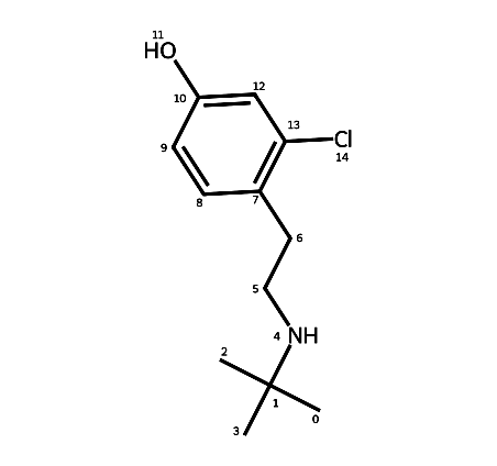 CC(C)(C)NCCc1ccc(O)cc1Cl